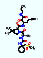 C#CCCC(NC(=O)[C@@H]1C2C(CN1C(=O)[C@@H](NC(=O)NC1(CS(C)(=O)=O)CCCCC1)C(C)(C)C)C2(C)C)C(=O)C(=O)NCC=C